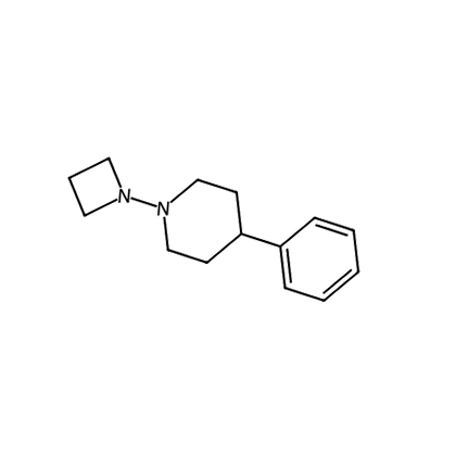 c1ccc(C2CCN(N3CCC3)CC2)cc1